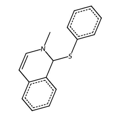 CN1C=Cc2ccccc2C1Sc1ccccc1